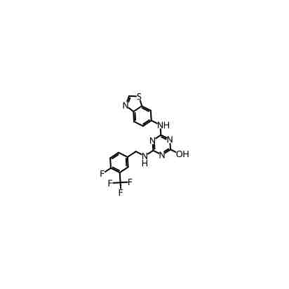 Oc1nc(NCc2ccc(F)c(C(F)(F)F)c2)nc(Nc2ccc3ncsc3c2)n1